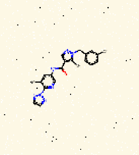 N#Cc1cc(NC(=O)c2cnn(Cc3cccc(C(F)(F)F)c3)c2C(F)(F)F)cnc1-n1nccn1